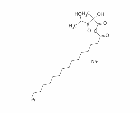 CC(C)CCCCCCCCCCCCCCC(=O)OC(=O)C(C)(O)C(=O)C(C)O.[Na]